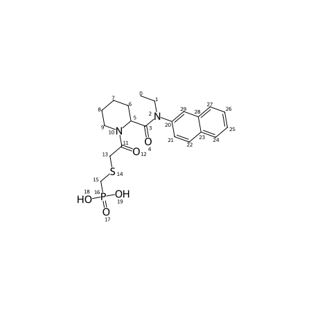 CCN(C(=O)C1CCCCN1C(=O)CSCP(=O)(O)O)c1ccc2ccccc2c1